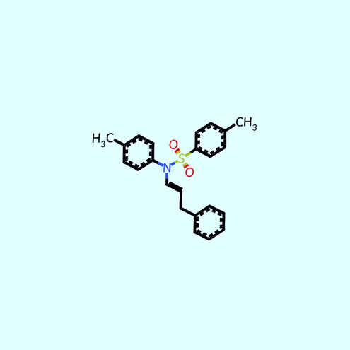 Cc1ccc(N(/C=C/Cc2ccccc2)S(=O)(=O)c2ccc(C)cc2)cc1